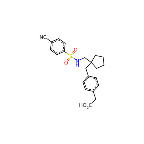 N#Cc1ccc(S(=O)(=O)NCC2(Cc3ccc(CC(=O)O)cc3)CCCC2)cc1